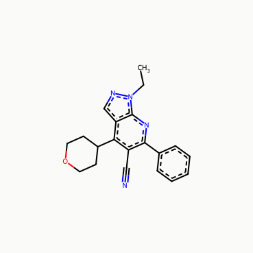 CCn1ncc2c(C3CCOCC3)c(C#N)c(-c3ccccc3)nc21